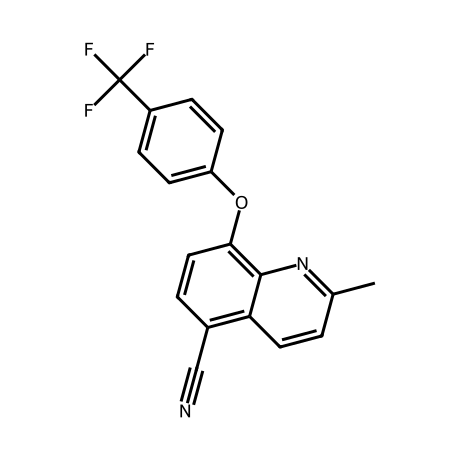 Cc1ccc2c(C#N)ccc(Oc3ccc(C(F)(F)F)cc3)c2n1